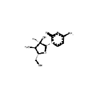 CC(=O)O[C@@H]1[C@@H](CO)O[C@@H](n2ccc(N)nc2=O)[C@@]1(O)C(C)=O